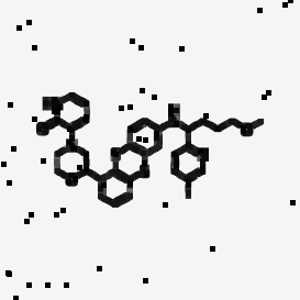 COCCCC(Nc1ccc2c(c1)Sc1cccc(C3CN(c4ccc[nH]c4=O)CCO3)c1S2)c1ccc(C)cn1